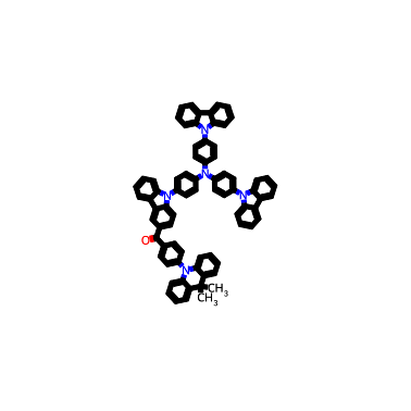 CC1(C)c2ccccc2N(c2ccc(C(=O)c3ccc4c(c3)c3ccccc3n4-c3ccc(N(c4ccc(-n5c6ccccc6c6ccccc65)cc4)c4ccc(-n5c6ccccc6c6ccccc65)cc4)cc3)cc2)c2ccccc21